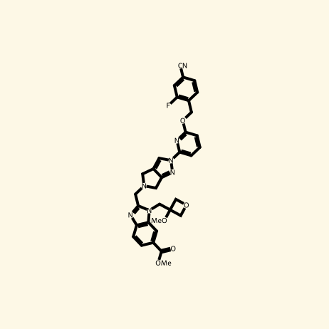 COC(=O)c1ccc2nc(CN3Cc4cn(-c5cccc(OCc6ccc(C#N)cc6F)n5)nc4C3)n(CC3(OC)COC3)c2c1